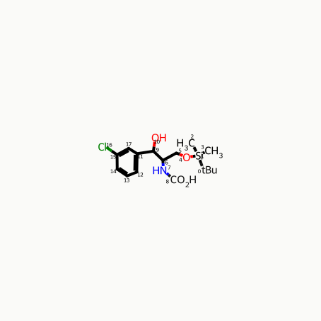 CC(C)(C)[Si](C)(C)OCC(NC(=O)O)C(O)c1cccc(Cl)c1